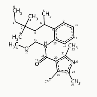 CCC(C)(C)CC(C)c1ccccc1N(COC)C(=O)c1c(C)nn(C)c1F